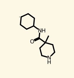 CC1(C(=O)NC2CC[CH]CC2)CCNCC1